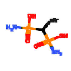 CCCC(P(N)(=O)O)P(N)(=O)O